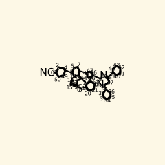 N#Cc1ccc(-c2ccc3c(c2)C2(c4ccccc4Sc4ccccc42)c2cc(-c4nc(-c5ccccc5)cc(-c5ccccc5)n4)ccc2-3)cc1